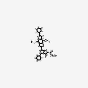 COC(=O)c1sc2c(-c3cc4c(C)c5sc(-c6ccccc6)cc5c(C)c4s3)sc(-c3ccccc3)c2c1F